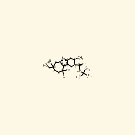 C[C@@H]1Cc2nn3c(c2CN1C(=O)OC(C)(C)C)C(F)(F)CCC(O)(CO)C3